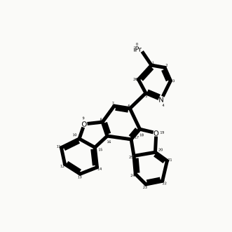 CC(C)c1ccnc(-c2cc3oc4ccccc4c3c3c2oc2ccccc23)c1